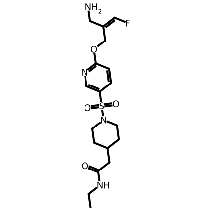 CCNC(=O)CC1CCN(S(=O)(=O)c2ccc(OC/C(=C\F)CN)nc2)CC1